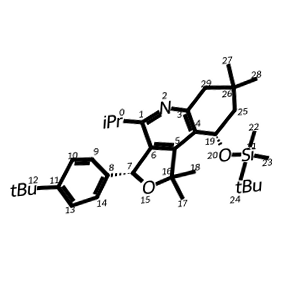 CC(C)c1nc2c(c3c1[C@@H](c1ccc(C(C)(C)C)cc1)OC3(C)C)[C@@H](O[Si](C)(C)C(C)(C)C)CC(C)(C)C2